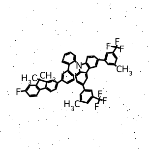 Cc1cc(-c2ccc3c(c2)c2cc(-c4cc(C)cc(C(F)(F)F)c4)ccc2n3-c2ccccc2-c2cccc(-c3ccc4c(c3)C(C)(C)c3cc(F)ccc3-4)c2)cc(C(F)(F)F)c1